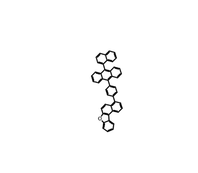 c1ccc2c(-c3c4ccccc4c(-c4ccc(-c5cccc6c5ccc5oc7ccccc7c56)cc4)c4ccccc34)cccc2c1